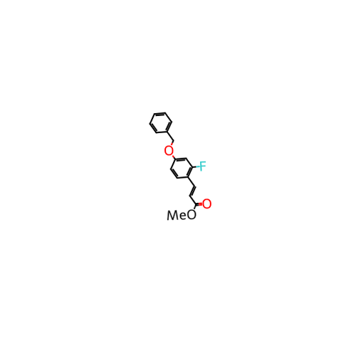 COC(=O)C=Cc1ccc(OCc2ccccc2)cc1F